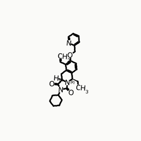 C=Cc1c(OCc2ccccn2)ccc2c1C[C@H]1C(=O)N(C3CCCCC3)C(=O)N1[C@@H]2CC